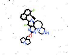 C#Cc1c(F)ccc2cccc(-c3nc4c5c(nc(OCC67CCCN6CCC7)nc5c3F)N3CCNCC3CCC4)c12